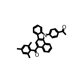 CC(=O)c1ccc(-n2c3ccccc3c3cc(C(=O)c4c(C)cc(C)cc4C)c4ccccc4c32)cc1